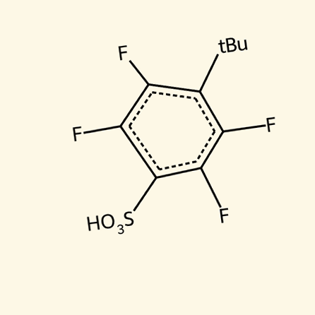 CC(C)(C)c1c(F)c(F)c(S(=O)(=O)O)c(F)c1F